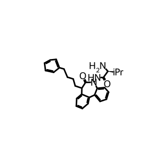 CC(C)[C@H](N)C(=O)NN1C(=O)C(CCCCc2ccccc2)c2ccccc2-c2ccccc21